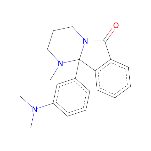 CN(C)c1cccc(C23c4ccccc4C(=O)N2CCCN3C)c1